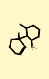 CC1CCCC(N)C1C1(C)C=CCCC1